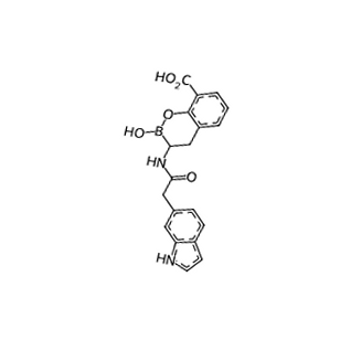 O=C(Cc1ccc2cc[nH]c2c1)NC1Cc2cccc(C(=O)O)c2OB1O